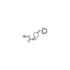 CC(C)(C)OC(=O)NC1CCC(=Cc2ncccn2)CC1